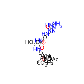 CC(=O)c1ccc([Si](C)(C)O[Si](C)(CCCC(=O)O)c2ccc(NC(=O)CC[C@H](NC(=O)c3ccc(NCc4cnc5nc(N)[nH]c(=O)c5n4)cc3)C(=O)O)cc2)cc1